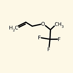 C=CCOC(C)C(F)(F)F